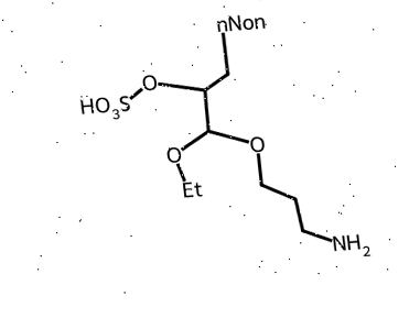 CCCCCCCCCCC(OS(=O)(=O)O)C(OCC)OCCCN